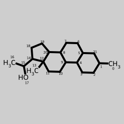 CC1CCC2C(CCC3C2CCC2(C)C(C(C)O)CCC32)C1